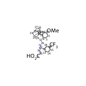 COc1ccc(CC/C=C(/C=C/C(=O)O)c2cccc(C(F)(F)F)c2)c(C23CC4CC(CC(C4)C2)C3)c1